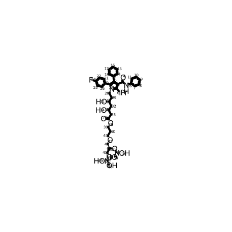 CC(C)c1c(C(=O)Nc2ccccc2)c(-c2ccccc2)c(-c2ccc(F)cc2)n1CC[C@@H](O)C[C@@H](O)CC(=O)OCCCOC[C@H](CON(O)O)ON(O)O